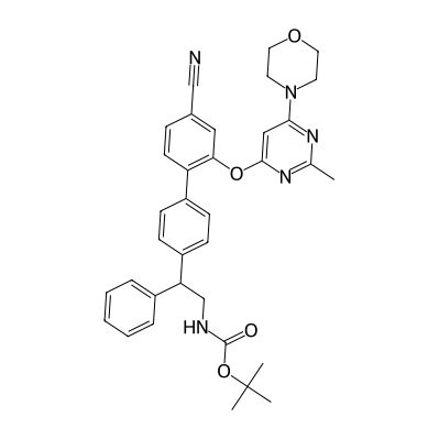 Cc1nc(Oc2cc(C#N)ccc2-c2ccc(C(CNC(=O)OC(C)(C)C)c3ccccc3)cc2)cc(N2CCOCC2)n1